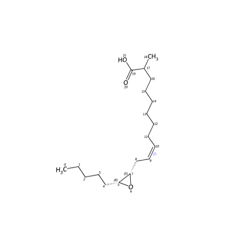 CCCCC[C@H]1O[C@H]1C/C=C\CCCCCCC(C)C(=O)O